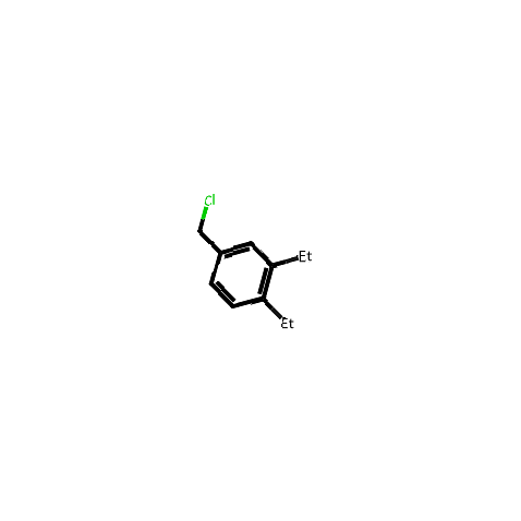 CCc1ccc(CCl)cc1CC